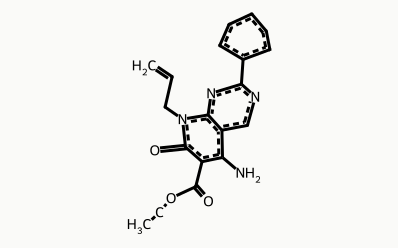 C=CCn1c(=O)c(C(=O)OCC)c(N)c2cnc(-c3ccccc3)nc21